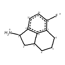 NC1CC2CCCc3c(F)ccc1c32